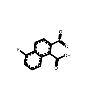 O=C(O)c1c(I(=O)=O)ccc2c(F)cccc12